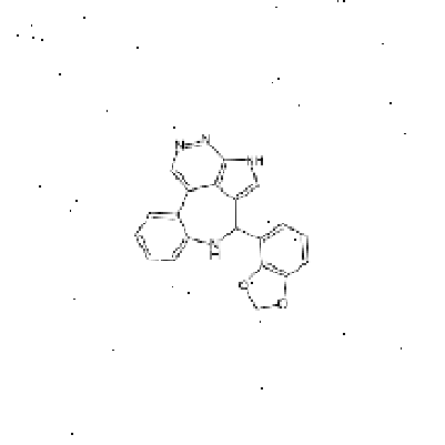 c1ccc2c(c1)NC(c1cccc3c1OCO3)c1c[nH]c3nncc-2c13